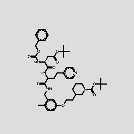 Cc1ccc(OCCC2CCCN(C(=O)OC(C)(C)C)C2)cc1CNC(=O)C(CCc1ccncc1)NC(=O)[C@H](CC(=O)OC(C)(C)C)NC(=O)OCc1ccccc1